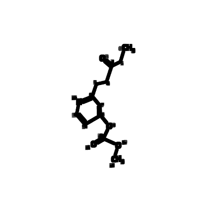 CCC(=O)CCc1cc(OC(=O)OC)ccn1